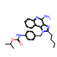 CCCCc1nc2c(N)nc3ccccc3c2n1Cc1ccc(NC(=O)OC(C)C)cc1